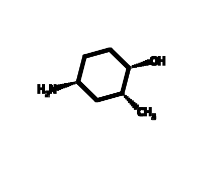 C[C@@H]1C[C@H](N)CC[C@@H]1O